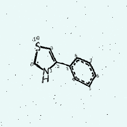 [C]1NC(c2ccccc2)=CS1